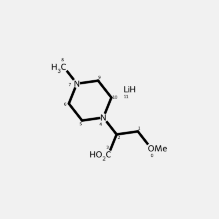 COCC(C(=O)O)N1CCN(C)CC1.[LiH]